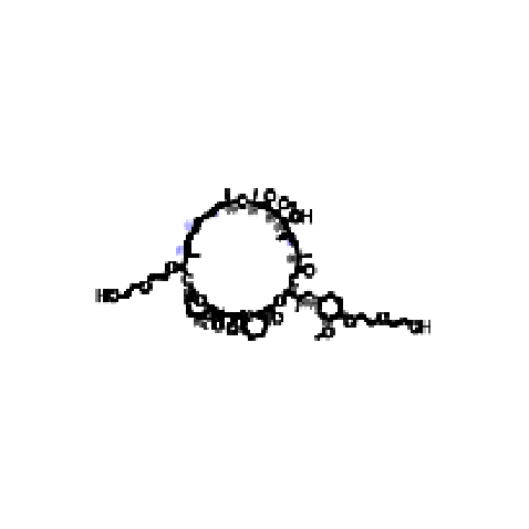 CO[C@@H]1C[C@H](C[C@@H](C)[C@@H]2CC(=O)[C@H](C)/C=C(\C)[C@@H](O)[C@@H](OC)C(=O)[C@H](C)C[C@H](C)/C=C/C=C/C=C(\C)C(OCCOCCO)C[C@@H]3CC[C@@H](C)[C@@](O)(O3)C(=O)C(=O)N3CCCC[C@H]3C(=O)O2)CC[C@H]1OCCOCCO